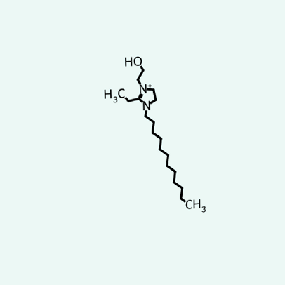 CCCCCCCCCCCCN1CC[N+](CCO)=C1CC